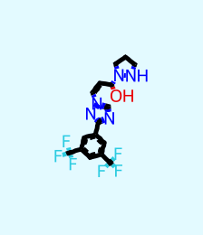 OC(/C=C\n1cnc(-c2cc(C(F)(F)F)cc(C(F)(F)F)c2)n1)N1CCCN1